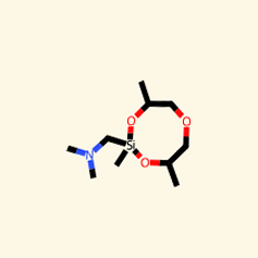 CC1COCC(C)O[Si](C)(CN(C)C)O1